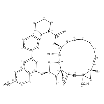 CCC1[C@@H](Oc2cc(-c3ccccc3)nc3cc(OC)ccc23)CN2C(=O)[C@@H](CC(=O)N3CCCCC3)CCCCCC=C[C@@H]3C[C@@]3(C(=O)O)NC(=O)[C@H]12